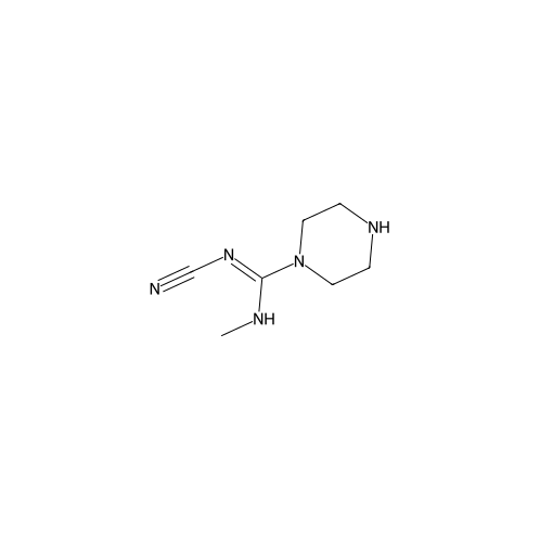 CN/C(=N\C#N)N1CCNCC1